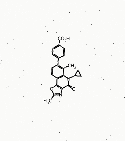 Cc1nc2c(=O)n(C3CC3)c3c(C)c(-c4ccc(C(=O)O)cc4)ccc3c2o1